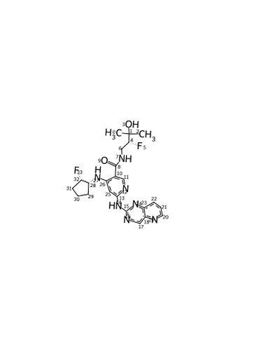 CC(C)(O)[C@H](F)CNC(=O)c1cnc(Nc2ncc3ncccc3n2)cc1N[C@@H]1CCC[C@@H]1F